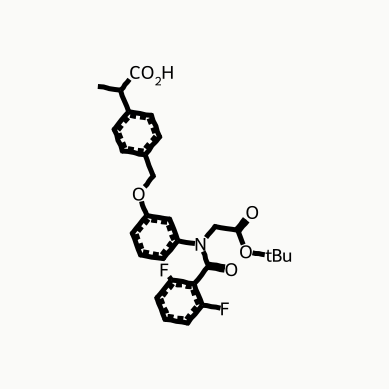 CC(C(=O)O)c1ccc(COc2cccc(N(CC(=O)OC(C)(C)C)C(=O)c3c(F)cccc3F)c2)cc1